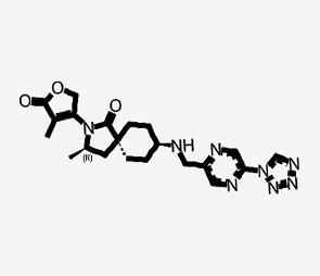 CC1=C(N2C(=O)[C@]3(CC[C@H](NCc4cnc(-n5cnnn5)cn4)CC3)C[C@H]2C)COC1=O